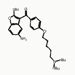 CCCCc1oc2ccc(N)cc2c1C(=O)c1ccc(OCCCCCN(CCCC)CCCC)cc1